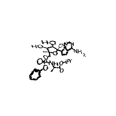 CC(C)OC(=O)[C@@H](C)NP(=O)(OC[C@@]1(C)O[C@@](C#N)(c2ccc3c(N)ncnn23)[C@H](O)[C@@H]1O)Oc1ccccc1